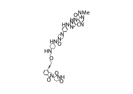 CNC(=O)c1ncccc1Nc1nc(Nc2ccc(N3CCN(C(=O)N[C@H]4CC[C@@H](NCCOCCC#Cc5cccc6c5CN(C5CCC(=O)NC5=O)C6=O)CC4)CC3)cc2)ncc1C#N